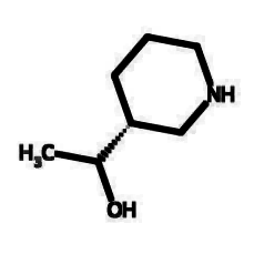 CC(O)[C@@H]1CCCNC1